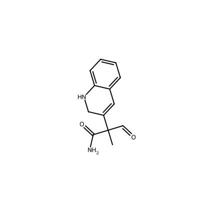 CC(C=O)(C(N)=O)C1=Cc2ccccc2NC1